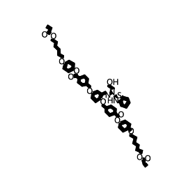 C=CC(=O)OCCCCCCOc1ccc(OC(=O)C2CCC(COc3ccc(OCC4CCC(C(=O)Oc5ccc(OCCCCCCOC(=O)C=C)cc5)CC4)c(/C=N/N(CCO)C4Nc5ccccc5S4)c3)CC2)cc1